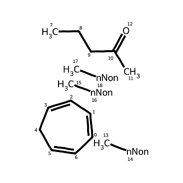 C1=CC=CCC=C1.CCCC(C)=O.CCCCCCCCCC.CCCCCCCCCC.CCCCCCCCCC